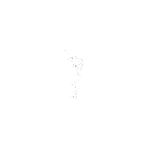 Nc1ncnc2c1c(-c1ccc(Oc3ccccc3)cc1)nn2[C@@H]1CCN(Cc2ccc3c(c2)C(=O)N(C2CCC(=O)NC2=O)C3=O)C[C@@H]1F